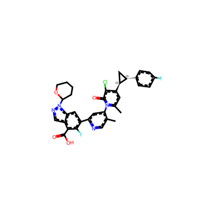 Cc1cnc(-c2cc3c(cnn3C3CCCCO3)c(C(=O)O)c2F)cc1-n1c(C)cc([C@H]2C[C@@H]2c2ccc(F)cc2)c(Cl)c1=O